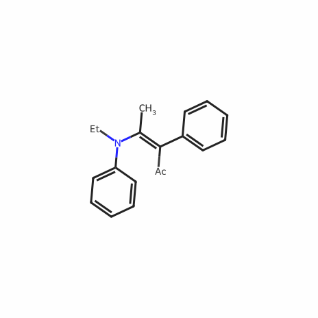 CCN(/C(C)=C(\C(C)=O)c1ccccc1)c1ccccc1